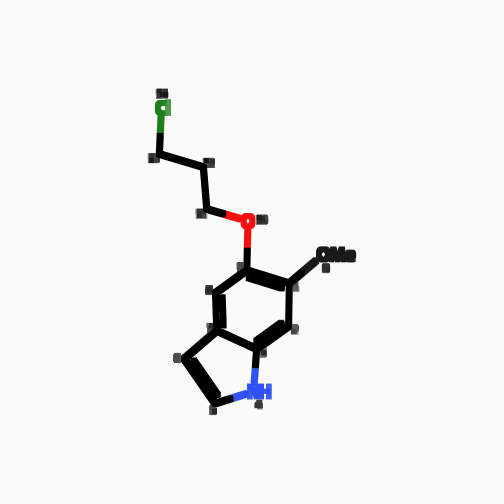 COc1cc2[nH]ccc2cc1OCCCCl